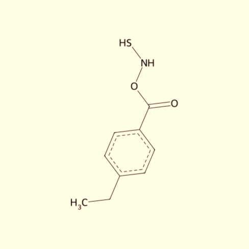 CCc1ccc(C(=O)ONS)cc1